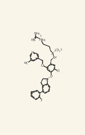 N#Cc1cncc(COc2cc(O[C@H]3CCc4c(-c5ccccc5F)cccc43)c(Cl)cc2CN[C@H](CCCNC(=N)N)C(=O)O)c1